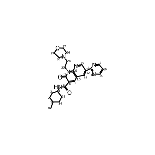 CC1CCC(NC(=O)c2cc3cc(-c4ncccn4)cnc3n(CCN3CCOCC3)c2=O)CC1